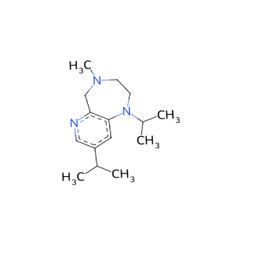 CC(C)c1cnc2c(c1)N(C(C)C)CCN(C)C2